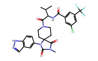 CC(C)C(NC(=O)c1cc(Cl)cc(C(F)(F)F)c1)C(=O)N1CCC2(CC1)C(=O)N(C)C(=O)N2c1ccc2[nH]ncc2c1